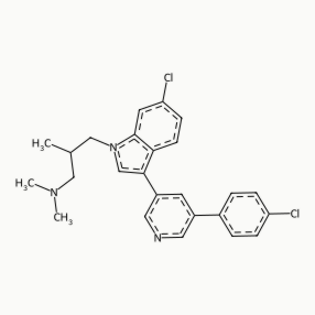 CC(CN(C)C)Cn1cc(-c2cncc(-c3ccc(Cl)cc3)c2)c2ccc(Cl)cc21